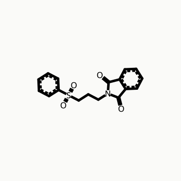 O=C1c2ccccc2C(=O)N1CCCS(=O)(=O)c1ccccc1